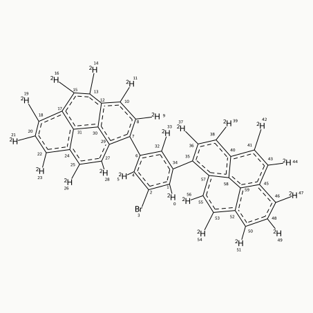 [2H]c1c(Br)c([2H])c(-c2c([2H])c([2H])c3c([2H])c([2H])c4c([2H])c([2H])c([2H])c5c([2H])c([2H])c2c3c45)c([2H])c1-c1c([2H])c([2H])c2c([2H])c([2H])c3c([2H])c([2H])c([2H])c4c([2H])c([2H])c1c2c34